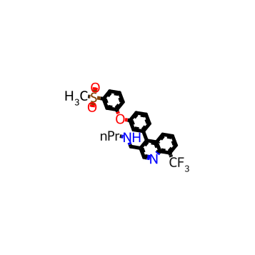 CCCNCc1cnc2c(C(F)(F)F)cccc2c1-c1cccc(Oc2cccc(S(C)(=O)=O)c2)c1